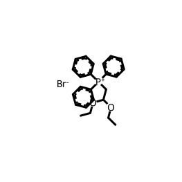 CCOC(C[P+](c1ccccc1)(c1ccccc1)c1ccccc1)OCC.[Br-]